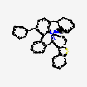 c1ccc(-c2ccc3c([nH]c4ccccc43)c2-c2ccccc2-c2cccc3sc4ccccc4c23)cc1